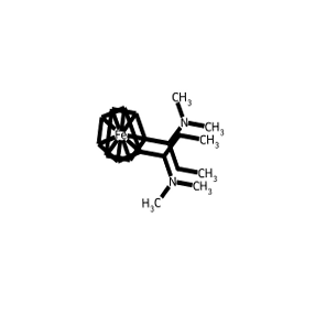 CCC(N(C)C)[C]12[CH]3[CH]4[CH]5[CH]1[Fe]45321678[CH]2[CH]1[CH]6[C]7(C(CC)N(C)C)[CH]28